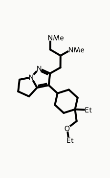 CCOCC1(CC)CCC(c2c(CC(CNC)NC)nn3c2CCC3)CC1